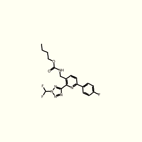 CCCCOC(=O)NCc1ccc(-c2ccc(F)cc2)nc1-c1nnn(C(F)F)n1